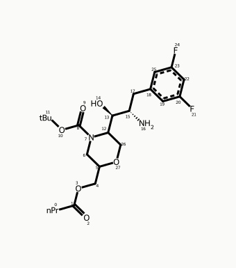 CCCC(=O)OCC1CN(C(=O)OC(C)(C)C)C([C@@H](O)[C@@H](N)Cc2cc(F)cc(F)c2)CO1